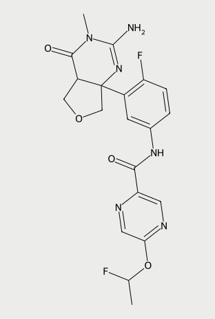 CC(F)Oc1cnc(C(=O)Nc2ccc(F)c(C34COCC3C(=O)N(C)C(N)=N4)c2)cn1